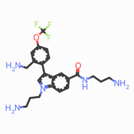 NCCCNC(=O)c1ccc2c(c1)c(-c1ccc(OC(F)(F)F)cc1CN)cn2CCCN